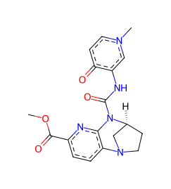 COC(=O)c1ccc2c(n1)N(C(=O)Nc1cn(C)ccc1=O)[C@H]1CCN2C1